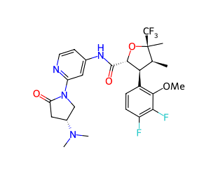 COc1c([C@H]2[C@H](C(=O)Nc3ccnc(N4C[C@H](N(C)C)CC4=O)c3)O[C@@](C)(C(F)(F)F)[C@H]2C)ccc(F)c1F